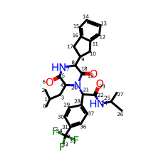 CC(C)CC1C(=O)NC(C2Cc3ccccc3C2)C(=O)N1C(C(=O)NC(C)C)c1ccc(C(F)(F)F)cc1